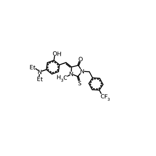 CCN(CC)c1ccc(C=C2C(=O)N(Cc3ccc(C(F)(F)F)cc3)C(=S)N2C)c(O)c1